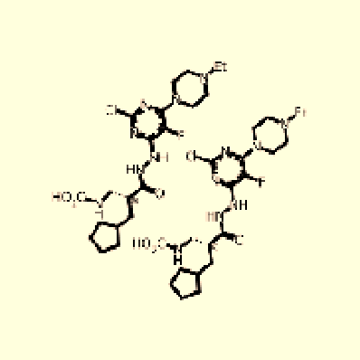 CCN1CCN(c2nc(Cl)nc(NNC(=O)[C@@H](CNC(=O)O)CC3CCCC3)c2F)CC1.CCN1CCN(c2nc(Cl)nc(NNC(=O)[C@@H](CNC(=O)O)CC3CCCC3)c2F)CC1